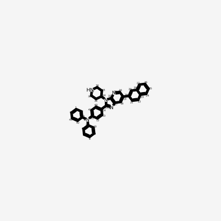 c1ccc(N(c2ccccc2)c2ccc(-c3nc4cc(-c5ccc6ccccc6c5)cnc4n3C3CCNCC3)cc2)cc1